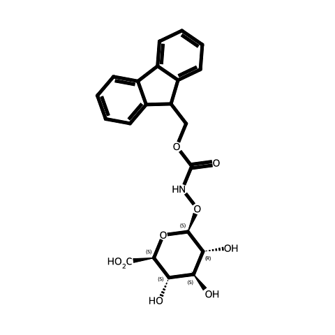 O=C(NO[C@@H]1O[C@H](C(=O)O)[C@@H](O)[C@H](O)[C@H]1O)OCC1c2ccccc2-c2ccccc21